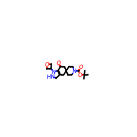 CC(C)(C)OC(=O)N1CCC2(CC1)CC(=O)C1=C(CNN1C1COC1)C2